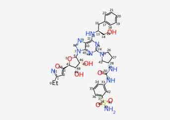 CCc1cc([C@H]2O[C@@H](n3cnc4c(N[C@H](CO)Cc5ccccc5)nc(N5CC[C@H](NC(=O)Nc6cccc(S(N)(=O)=O)c6)C5)nc43)[C@H](O)[C@@H]2O)on1